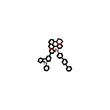 c1ccc(-c2ccc(-c3ccc(N(c4cccc(-c5ccc6c(c5)c5ccccc5n6-c5ccccc5)c4)c4ccccc4-c4cccc5cccc(C6CCCCC6)c45)cc3)cc2)cc1